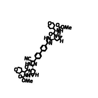 COC(=O)N[C@H](C(=O)N1[C@@H]2C[C@@H]2C[C@H]1c1nc(-c2ccc(-c3ccc(-c4nc([C@@H]5C[C@H]6C[C@H]6N5C(=O)[C@@H](NC(=O)OC)C5CCOCC5)[nH]c4C#N)cc3)cc2)c[nH]1)C1CCOCC1